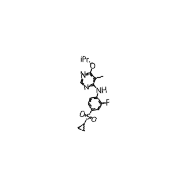 Cc1c(Nc2ccc(S(=O)(=O)C3CC3)cc2F)ncnc1OC(C)C